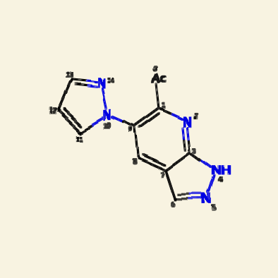 CC(=O)c1nc2[nH]ncc2cc1-n1cccn1